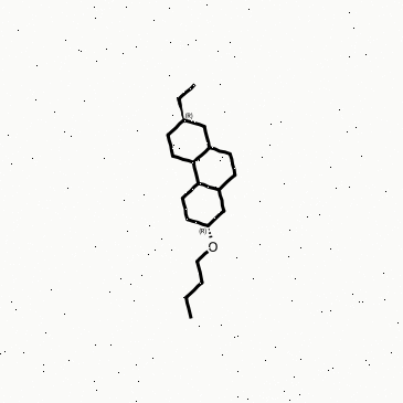 CCCCO[C@@H]1CCC2C(CCC3C[C@H](CC)CCC32)C1